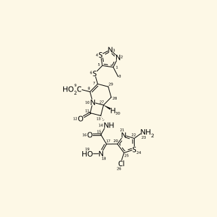 Cc1nnsc1SC1=C(C(=O)O)N2C(=O)[C@@H](NC(=O)/C(=N\O)c3nc(N)sc3Cl)[C@H]2CC1